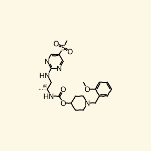 COc1ccccc1CN1CCC(OC(=O)N[C@H](C)CNc2ncc(S(C)(=O)=O)cn2)CC1